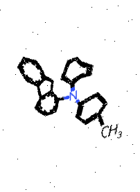 CC1=CC=C(N(C2=CC=CCC2)c2cccc3c2Cc2ccccc2-3)CC1